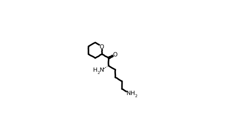 NCCCC[C@H](N)C(=O)C1CCCCO1